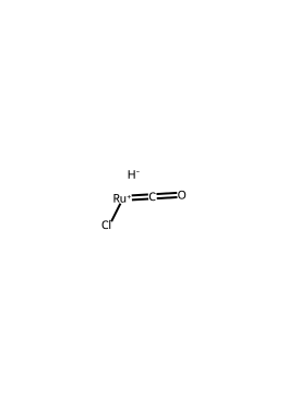 O=[C]=[Ru+][Cl].[H-]